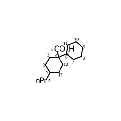 CCCC1CCC(C(=O)O)(C2CCCCC2)CC1